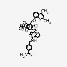 CS(=O)(=O)O.CS(=O)(=O)O.Cc1cc(C)c2cccc(OCc3c(Cl)ccc(S(=O)(=O)N4CCC[C@H]4C(=O)NCc4ccc(C(=N)N)cc4)c3Cl)c2n1